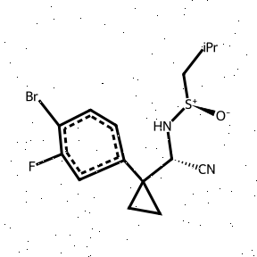 CC(C)C[S@@+]([O-])N[C@H](C#N)C1(c2ccc(Br)c(F)c2)CC1